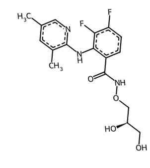 Cc1cnc(Nc2c(C(=O)NOC[C@H](O)CO)ccc(F)c2F)c(C)c1